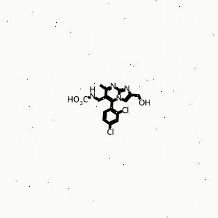 Cc1nc2nc(CO)cn2c(-c2ccc(Cl)cc2Cl)c1CNC(=O)O